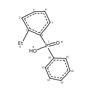 CCc1ccccc1P(=O)(O)c1ccccc1